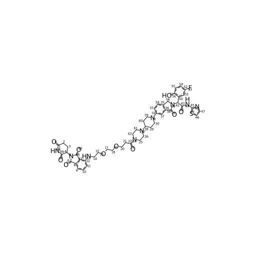 O=C1CCC(N2C(=O)c3cccc(NCCOCCOCCC(=O)N4CCN(C5CCN(c6ccc7c(c6)C(=O)N(C(C(=O)Nc6nccs6)c6cc(F)ccc6O)C7)CC5)CC4)c3C2=O)C(=O)N1